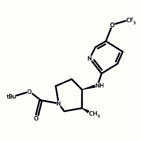 C[C@H]1CN(C(=O)OC(C)(C)C)CC[C@H]1Nc1ccc(OC(F)(F)F)cn1